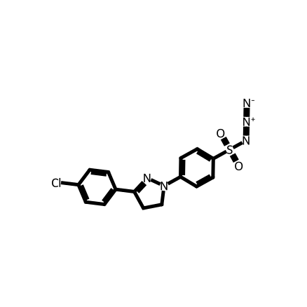 [N-]=[N+]=NS(=O)(=O)c1ccc(N2CCC(c3ccc(Cl)cc3)=N2)cc1